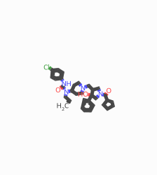 C=CCN(C(=O)Nc1ccc(Cl)cc1)C1CCN(CC2CN(C(=O)C3CCCC3)CC2(O)c2ccccc2)CC1